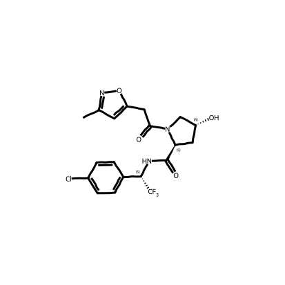 Cc1cc(CC(=O)N2C[C@H](O)C[C@H]2C(=O)N[C@@H](c2ccc(Cl)cc2)C(F)(F)F)on1